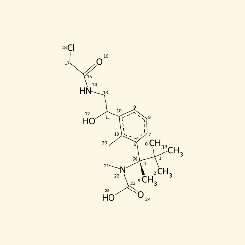 CC(C)(C)[C@@]1(C)c2cccc(C(O)CNC(=O)CCl)c2CCN1C(=O)O